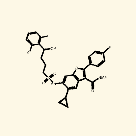 CNC(=O)c1c(-c2ccc(F)cc2)oc2cc(NS(=O)(=O)CCCC(O)c3c(F)cccc3Br)c(C3CC3)cc12